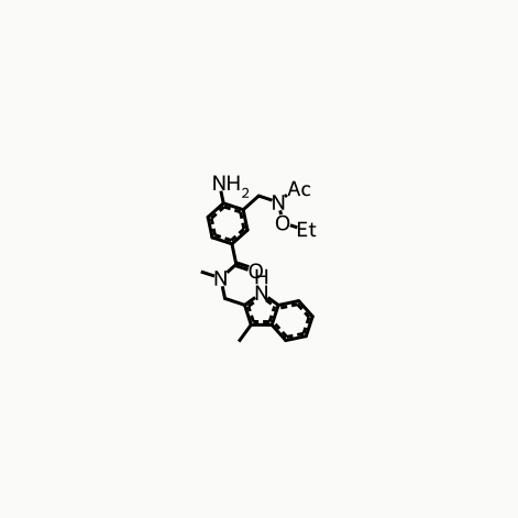 CCON(Cc1cc(C(=O)N(C)Cc2[nH]c3ccccc3c2C)ccc1N)C(C)=O